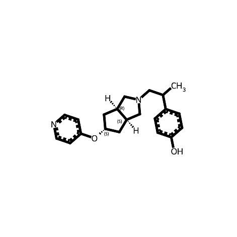 CC(CN1C[C@H]2C[C@H](Oc3ccncc3)C[C@H]2C1)c1ccc(O)cc1